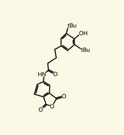 CC(C)(C)c1cc(CCCC(=O)Nc2ccc3c(c2)C(=O)OC3=O)cc(C(C)(C)C)c1O